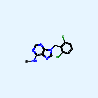 CC(C)Nc1ncnc2c1ncn2Cc1c(Cl)cccc1Cl